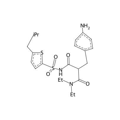 CCN(CC)C(=O)C(Cc1ccc(N)cc1)C(=O)NS(=O)(=O)c1ccc(CC(C)C)s1